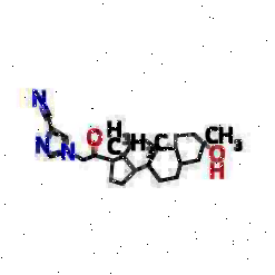 CC12CCC3C(CCC4C[C@](C)(O)CC[C@@]43C)C1CCC2C(=O)Cn1cnc(C#N)c1